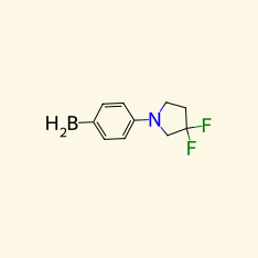 Bc1ccc(N2CCC(F)(F)C2)cc1